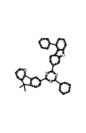 CC1(C)c2ccc(-c3nc(-c4ccccc4)nc(-c4ccc5c(c4)oc4cccc(-c6ccccc6)c45)n3)cc2-c2ncccc21